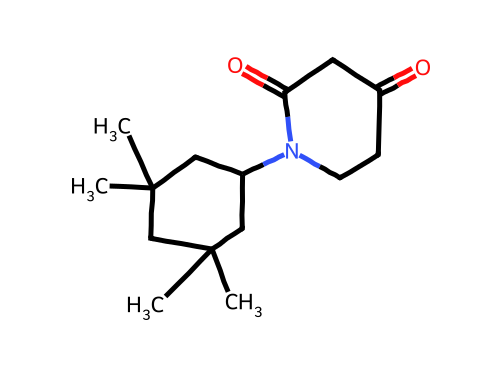 CC1(C)CC(N2CCC(=O)CC2=O)CC(C)(C)C1